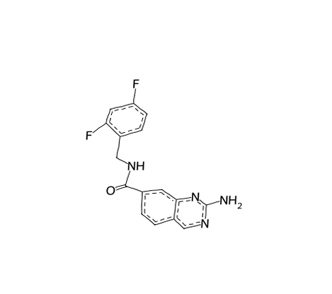 Nc1ncc2ccc(C(=O)NCc3ccc(F)cc3F)cc2n1